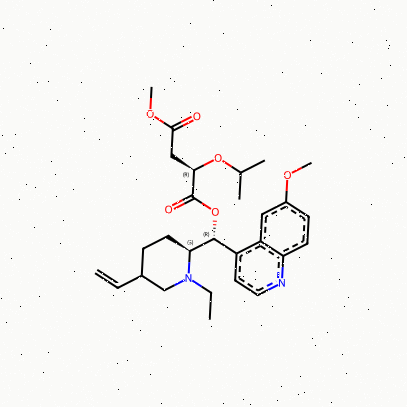 C=CC1CC[C@@H]([C@H](OC(=O)[C@@H](CC(=O)OC)OC(C)C)c2ccnc3ccc(OC)cc23)N(CC)C1